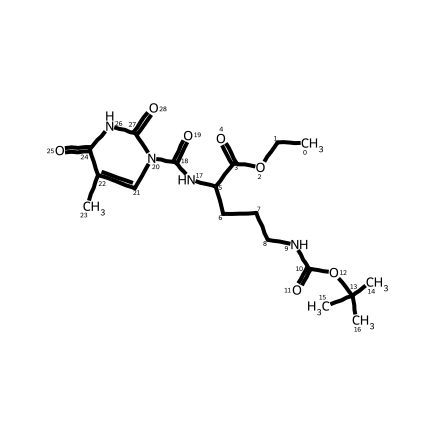 CCOC(=O)C(CCCNC(=O)OC(C)(C)C)NC(=O)n1cc(C)c(=O)[nH]c1=O